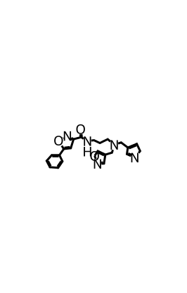 O=C(NCCCN(CC1=CCN=C1)Cc1cnoc1)c1cc(-c2ccccc2)on1